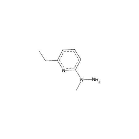 CCc1cccc(N(C)N)n1